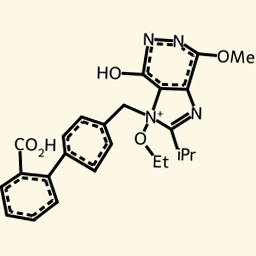 CCO[N+]1(Cc2ccc(-c3ccccc3C(=O)O)cc2)C(C(C)C)=Nc2c(OC)nnc(O)c21